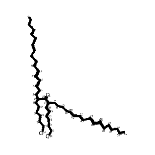 CCCCCCCCCCCCCCCCCC(CCCCCCCl)C(=O)C(CCCCCCCl)CCCCCCCCCCCCCCCCC